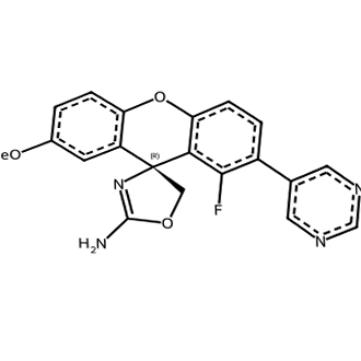 COc1ccc2c(c1)[C@]1(COC(N)=N1)c1c(ccc(-c3cncnc3)c1F)O2